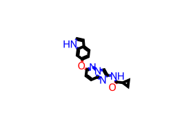 O=C(Nc1cn2nc(Oc3ccc4cc[nH]c4c3)ccc2n1)C1CC1